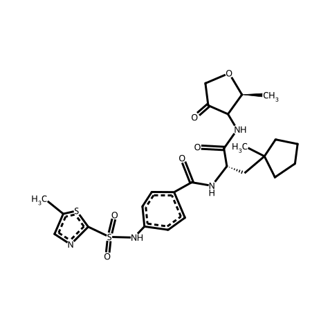 Cc1cnc(S(=O)(=O)Nc2ccc(C(=O)N[C@@H](CC3(C)CCCC3)C(=O)NC3C(=O)CO[C@H]3C)cc2)s1